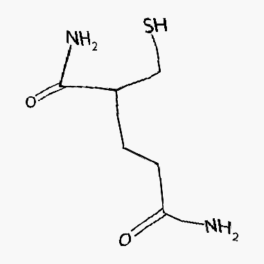 NC(=O)CCC(CS)C(N)=O